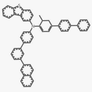 CC1CC(c2ccc(-c3ccccc3)cc2)=CC=C1N(c1ccc(-c2cccc(-c3ccc4ccccc4c3)c2)cc1)c1ccc2sc3ccccc3c2c1